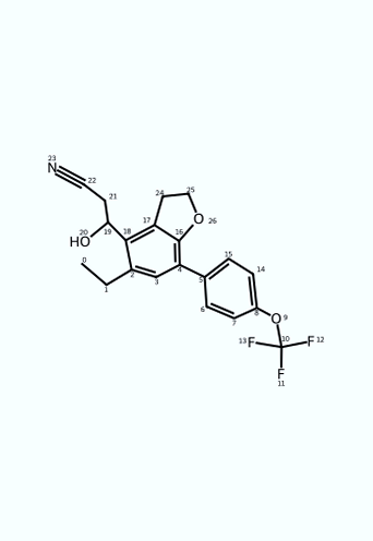 CCc1cc(-c2ccc(OC(F)(F)F)cc2)c2c(c1C(O)CC#N)CCO2